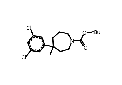 CC(C)(C)OC(=O)N1CCCC(C)(c2cc(Cl)cc(Cl)c2)CC1